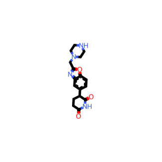 O=C1CCC(c2ccc3oc(CN4CCNCC4)nc3c2)C(=O)N1